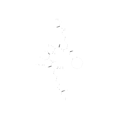 CC[C@H](NC(=O)[C@@H](NC(=O)[C@@H](N)CCCCNC(=O)OC(C)(C)C)[C@@H](C)OCC(C)C)C(=O)NC(CCCCNC(=O)OC(C)(C)C)C(=O)OC1CCCCCCC1